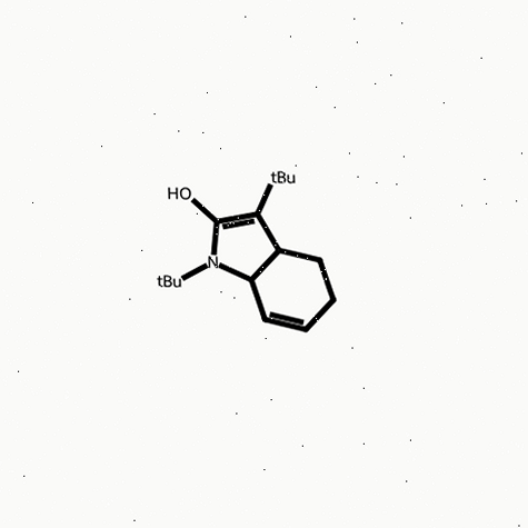 CC(C)(C)C1=C(O)N(C(C)(C)C)C2C=CCCC12